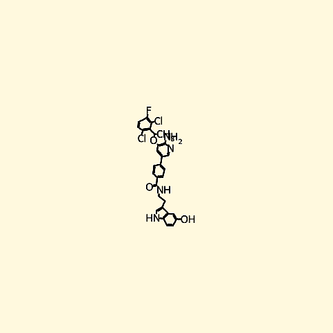 CC(Oc1cc(-c2ccc(C(=O)NCCc3c[nH]c4ccc(O)cc34)cc2)cnc1N)c1c(Cl)ccc(F)c1Cl